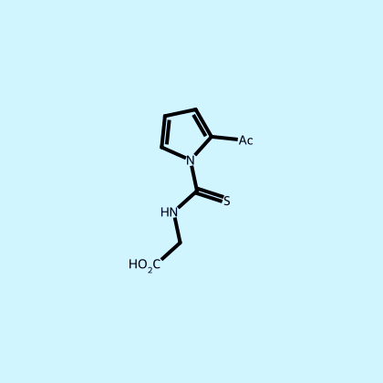 CC(=O)c1cccn1C(=S)NCC(=O)O